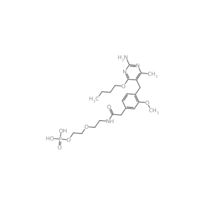 CCCCOc1nc(N)nc(C)c1Cc1ccc(CC(=O)NCCOCCOP(=O)(O)O)cc1OC